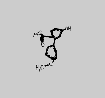 COc1ccc(-c2cc(O)ccc2C(=O)O)cc1